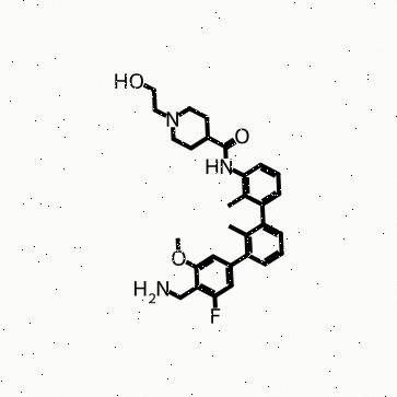 COc1cc(-c2cccc(-c3cccc(NC(=O)C4CCN(CCO)CC4)c3C)c2C)cc(F)c1CN